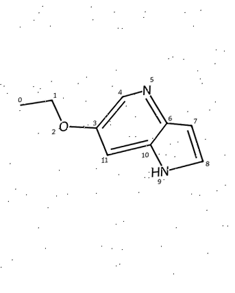 CCOc1cnc2cc[nH]c2c1